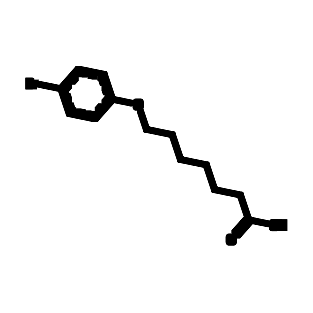 O=C(O)CCCCCCOc1ccc(Br)cc1